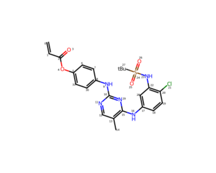 C=CC(=O)Oc1ccc(Nc2ncc(C)c(Nc3ccc(Cl)c(NS(=O)(=O)C(C)(C)C)c3)n2)cc1